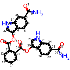 NC(=O)c1ccc2c(OC(=O)c3ccccc3C(=O)Oc3c[nH]c4cc(C(N)=O)ccc34)c[nH]c2c1